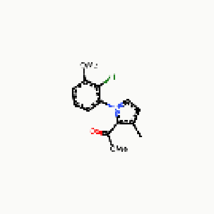 COC(=O)c1c(C)ccn1-c1cccc(OC)c1Cl